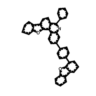 c1ccc(-c2nc3cc(-c4ccc(-c5cccc6c5oc5ccccc56)cc4)ccc3c3c2ccc2c4ccccc4oc23)cc1